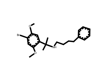 COc1cc(C(C)(C)NCCCCc2ccccc2)c(OC)cc1Br